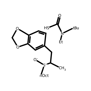 CCCCCCCC[S+]([O-])C(C)Cc1ccc2c(c1)OCO2.CCN(C(=O)S)C(C)(C)C